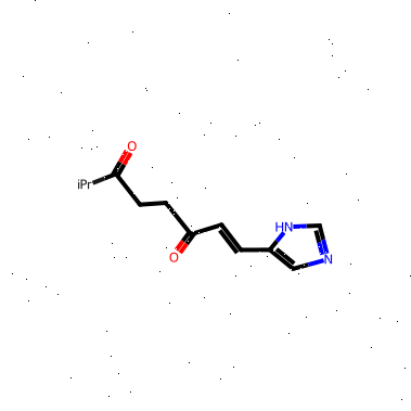 CC(C)C(=O)CCC(=O)/C=C/c1cnc[nH]1